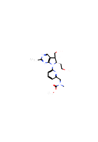 CSc1ncc2c(n1)N(c1cccc(CN(C)C(=O)OC(C)(C)C)n1)[C@H](CCO)[C@]2(C)CO